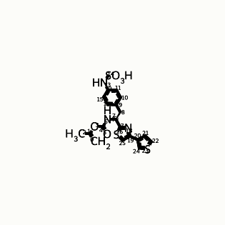 C=C(C)OC(=O)N[C@@H](Cc1ccc(NS(=O)(=O)O)cc1)c1nc(-c2ccsc2)cs1